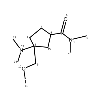 CN(C)C(=O)C1CCC(COI)(N(C)C)C1